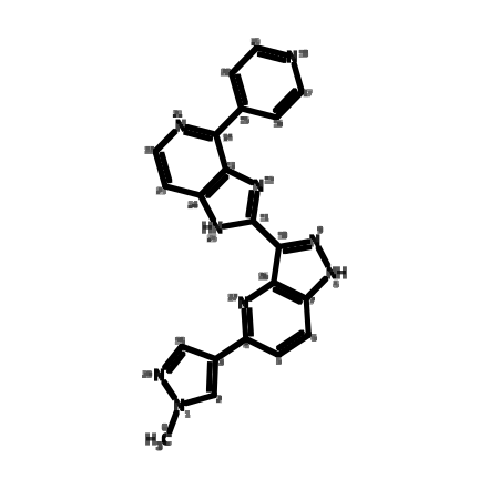 Cn1cc(-c2ccc3[nH]nc(-c4nc5c(-c6ccncc6)nccc5[nH]4)c3n2)cn1